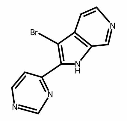 Brc1c(-c2ccncn2)[nH]c2cnccc12